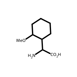 COC1CCCCC1C(N)C(=O)O